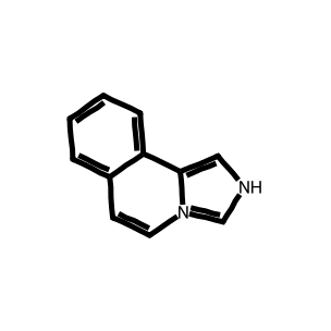 c1ccc2c(c1)cc[n+]1c[nH]cc21